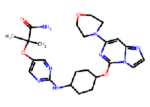 CC(C)(Oc1cnc(NC2CCC(Oc3nc(N4CCOCC4)cc4nccn34)CC2)nc1)C(N)=O